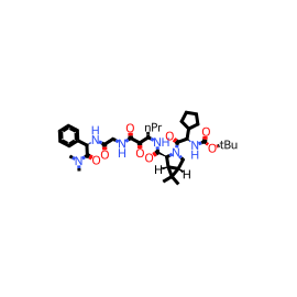 CCCC(NC(=O)[C@@H]1[C@@H]2[C@H](CN1C(=O)[C@@H](NC(=O)OC(C)(C)C)C1CCCC1)C2(C)C)C(=O)C(=O)NCC(=O)N[C@H](C(=O)N(C)C)c1ccccc1